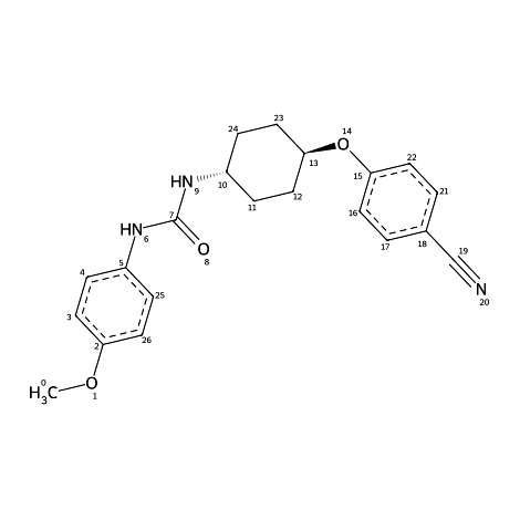 COc1ccc(NC(=O)N[C@H]2CC[C@H](Oc3ccc(C#N)cc3)CC2)cc1